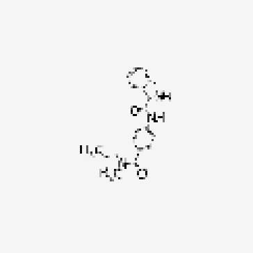 CCCN(C)C(=O)c1ccc(NC(=O)C2NCc3ccccc32)cc1